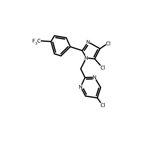 FC(F)(F)c1ccc(-c2nc(Cl)c(Cl)n2Cc2ncc(Cl)cn2)cc1